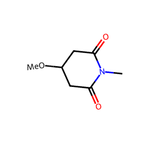 COC1CC(=O)N(C)C(=O)C1